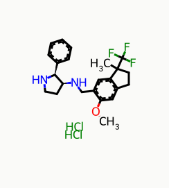 COc1cc2c(cc1CN[C@H]1CCN[C@H]1c1ccccc1)C(C)(C(F)(F)F)CC2.Cl.Cl